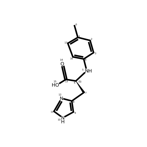 Cc1ccc(N[C@@H](Cc2c[nH]cn2)C(=O)O)cc1